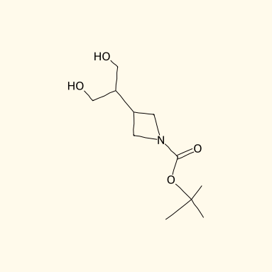 CC(C)(C)OC(=O)N1CC(C(CO)CO)C1